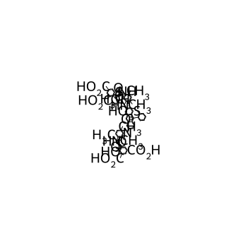 Cc1cc(C)c(NS(=O)(=O)c2cc(C(=O)O)cc(C(=O)O)c2O)c(C)c1/N=c1/ccc2c(-c3ccccc3S(=O)(=O)O)c3ccc(Nc4c(C)cc(C)c(NS(=O)(=O)c5cc(C(=O)O)cc(C(=O)O)c5O)c4C)cc3oc-2c1